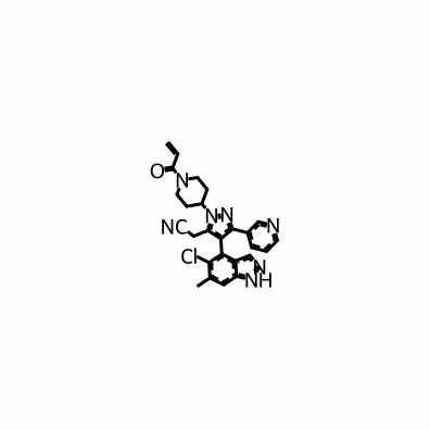 C=CC(=O)N1CCC(n2nc(-c3cccnc3)c(-c3c(Cl)c(C)cc4[nH]ncc34)c2CC#N)CC1